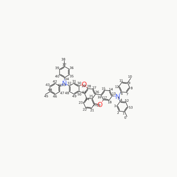 Cc1ccc(N(c2ccc(C)cc2)c2ccc3c(c2)Oc2cccc4c2c-3cc2oc3cc(N(c5ccc(C)cc5)c5ccc(C)cc5)ccc3c24)cc1